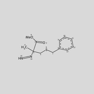 COC(=O)C(C)(CSCc1ccccc1)N=N